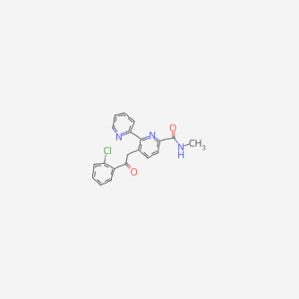 CNC(=O)c1ccc(CC(=O)c2ccccc2Cl)c(-c2ccccn2)n1